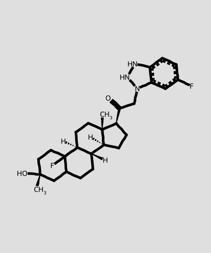 C[C@@]1(O)CCC2(F)C(CC[C@@H]3[C@@H]2CC[C@]2(C)[C@@H](C(=O)CN4NNc5ccc(F)cc54)CC[C@@H]32)C1